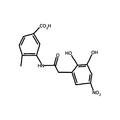 Cc1ccc(C(=O)O)cc1NC(=O)Cc1cc([N+](=O)[O-])cc(O)c1O